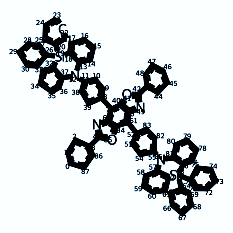 c1ccc(-c2nc3c(-c4ccc(N5c6ccccc6[Si](c6ccccc6)(c6ccccc6)c6ccccc65)cc4)c4oc(-c5ccccc5)nc4c(-c4ccc(N5c6ccccc6[Si](c6ccccc6)(c6ccccc6)c6ccccc65)cc4)c3o2)cc1